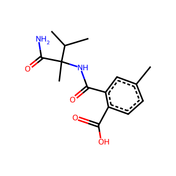 Cc1ccc(C(=O)O)c(C(=O)NC(C)(C(N)=O)C(C)C)c1